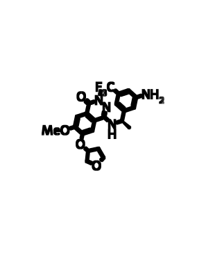 COc1cc2c(=O)n(C)nc(N[C@H](C)c3cc(N)cc(C(F)(F)F)c3)c2cc1OC1CCOC1